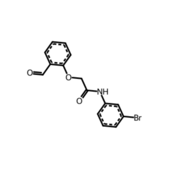 O=Cc1ccccc1OCC(=O)Nc1cccc(Br)c1